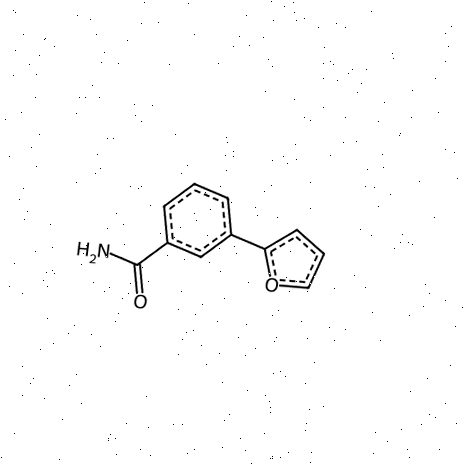 NC(=O)c1cccc(-c2ccco2)c1